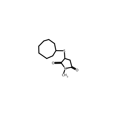 CN1C(=O)CC(SC2CCCCCCC2)C1=O